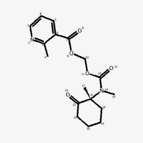 Cc1ncccc1C(=O)OCOC(=O)N(C)[C@]1(C)CCCCC1=O